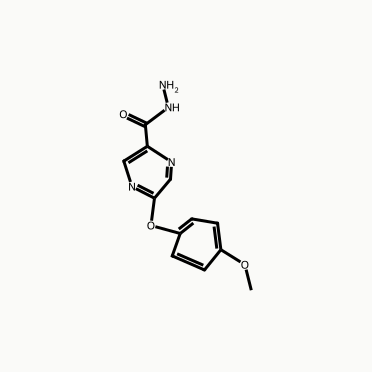 COc1ccc(Oc2cnc(C(=O)NN)cn2)cc1